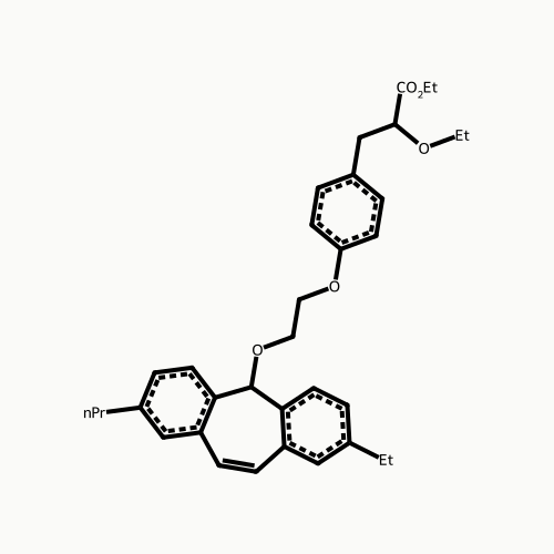 CCCc1ccc2c(c1)C=Cc1cc(CC)ccc1C2OCCOc1ccc(CC(OCC)C(=O)OCC)cc1